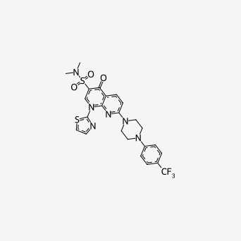 CN(C)S(=O)(=O)c1cn(-c2nccs2)c2nc(N3CCN(c4ccc(C(F)(F)F)cc4)CC3)ccc2c1=O